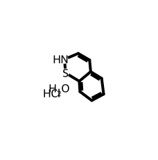 C1=Cc2ccccc2SN1.Cl.O